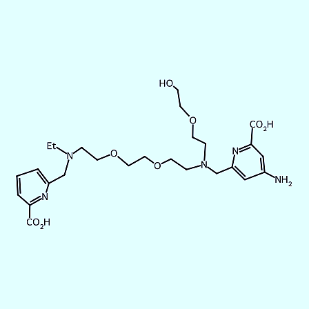 CCN(CCOCCOCCN(CCOCCO)Cc1cc(N)cc(C(=O)O)n1)Cc1cccc(C(=O)O)n1